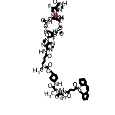 CC(C)[C@H](NC(=O)CCC(=O)N1Cc2ccccc2C#Cc2ccccc21)C(=O)N[C@@H](C)C(=O)Nc1ccc(COC(=O)N(C)CCCC(=O)Nc2ncnc3c2ncn3[C@@H]2O[C@@H]3CO[PH](=O)O[C@@H]4[C@H](O)[C@@H](CO[PH](=O)O[C@H]3[C@H]2F)O[C@H]4n2cc(F)c3c(=O)[nH]cnc32)cc1